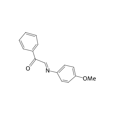 COc1ccc(N=CC(=O)c2ccccc2)cc1